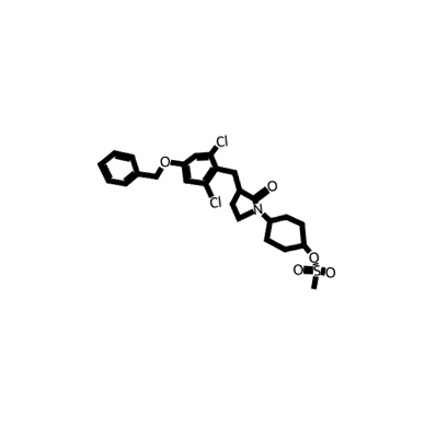 CS(=O)(=O)OC1CCC(N2CCC(Cc3c(Cl)cc(OCc4ccccc4)cc3Cl)C2=O)CC1